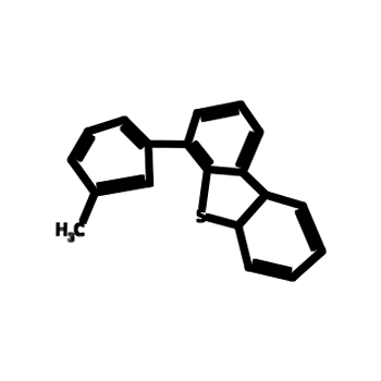 Cc1cccc(-c2cccc3c2SC2C=CC=CC32)c1